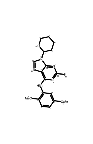 COc1ccc(OC)c(Nc2nc(Br)nc3c2ncn3C2CCCCO2)c1